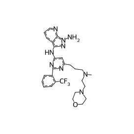 CN(CCCc1cc(Nc2nn(N)c3ncccc23)nc(-c2ccccc2C(F)(F)F)n1)CCN1CCOCC1